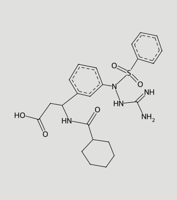 N=C(N)NN(c1cccc(C(CC(=O)O)NC(=O)C2CCCCC2)c1)S(=O)(=O)c1ccccc1